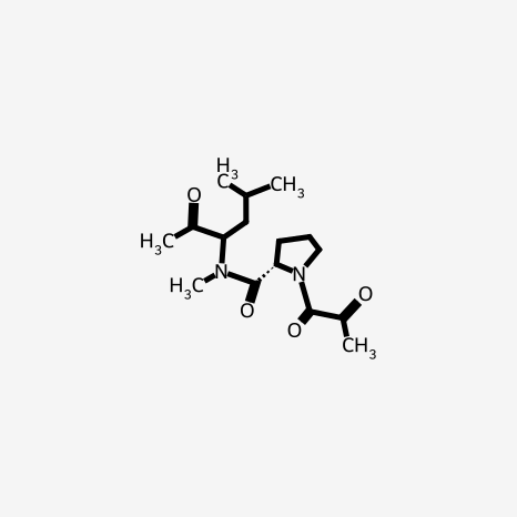 CC(=O)C(=O)N1CCC[C@H]1C(=O)N(C)C(CC(C)C)C(C)=O